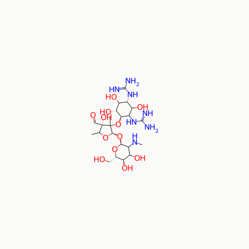 CNC1C(O)[C@@H](O)[C@H](CO)O[C@H]1O[C@H]1OC(C)[C@@](O)(C=O)C1(C)O[C@@H]1C(NC(=N)N)C(O)[C@@H](NC(=N)N)C(O)[C@H]1O